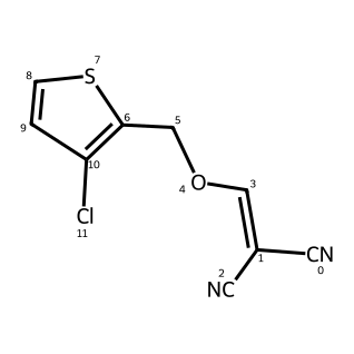 N#CC(C#N)=COCc1sccc1Cl